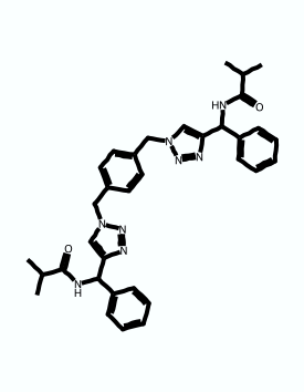 CC(C)C(=O)NC(c1ccccc1)c1cn(Cc2ccc(Cn3cc(C(NC(=O)C(C)C)c4ccccc4)nn3)cc2)nn1